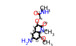 CNC(=O)COc1cc2cc(N)cc(OC)c2n(C)c1=O